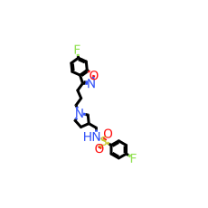 O=S(=O)(NCC1CCN(CCCc2noc3cc(F)ccc23)C1)c1ccc(F)cc1